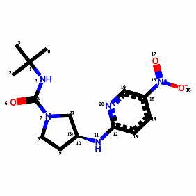 CC(C)(C)NC(=O)N1CC[C@H](Nc2ccc([N+](=O)[O-])cn2)C1